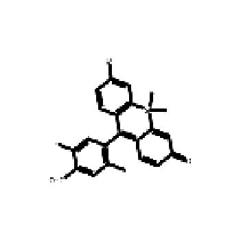 Cc1cc(C=O)c(F)cc1C1=C2C=CC(=O)C=C2[Si](C)(C)c2cc(O)ccc21